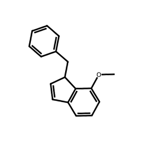 COc1cccc2c1C(Cc1ccccc1)C=C2